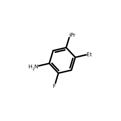 CCc1cc(F)c(N)cc1C(C)C